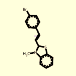 CN1c2ccccc2SC1/C=C/c1ccc(Br)cc1